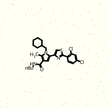 CCCCNC(=O)c1cc(-c2csc(-c3ccc(Cl)cc3Cl)n2)n(CC2CCCCC2)c1C